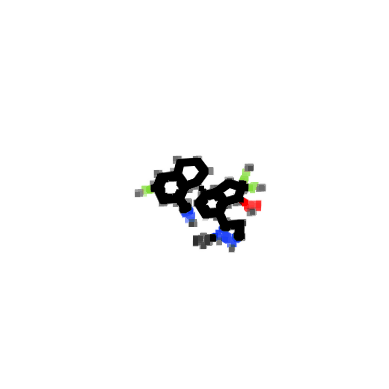 Cn1nccc1-c1ccc([C@H]2CCCc3cc(F)cc(C#N)c32)c2c1[C@H](O)C(F)(F)C2